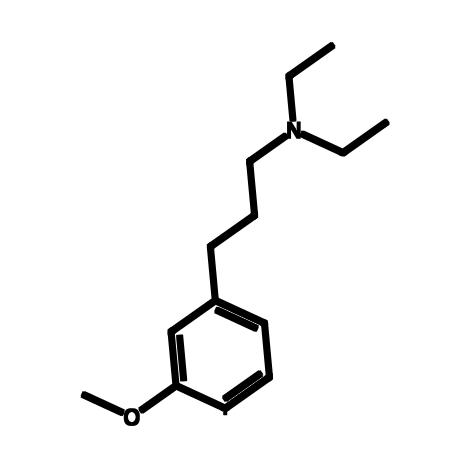 CCN(CC)CCCc1cc[c]c(OC)c1